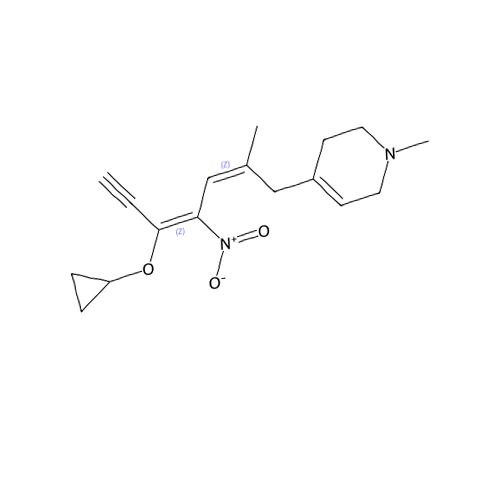 C#C/C(OC1CC1)=C(\C=C(\C)CC1=CCN(C)CC1)[N+](=O)[O-]